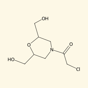 O=C(CCl)N1CC(CO)OC(CO)C1